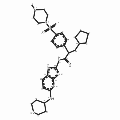 CN1CCN(S(=O)(=O)c2ccc(C(CC3CCCC3)C(=O)Nc3nc4ccc(NC5CCOCC5)nc4s3)cc2)CC1